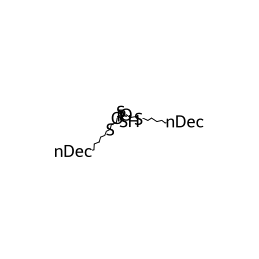 CCCCCCCCCCCCCCCCSCCOP(=S)(S)OCCSCCCCCCCCCCCCCCCC